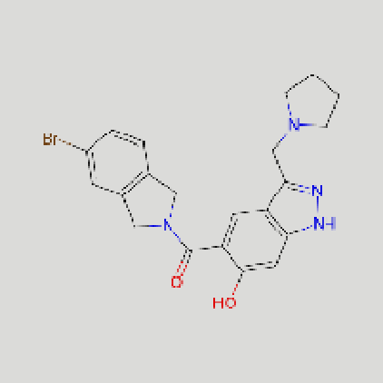 O=C(c1cc2c(CN3CCCC3)n[nH]c2cc1O)N1Cc2ccc(Br)cc2C1